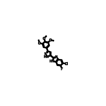 COc1cc(-c2cc(-c3nc4cc(Cl)c(F)cc4[nH]3)[nH]n2)cc(OC)c1OC